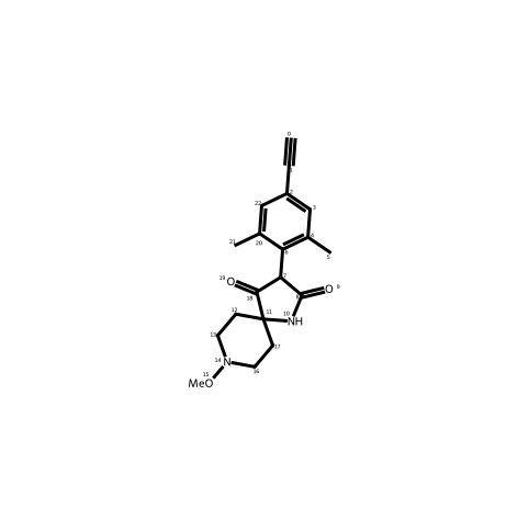 C#Cc1cc(C)c(C2C(=O)NC3(CCN(OC)CC3)C2=O)c(C)c1